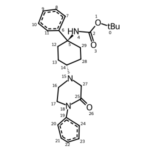 CC(C)(C)OC(=O)N[C@]1(c2ccccc2)CC[C@@H](N2CCN(c3ccccc3)C(=O)C2)CC1